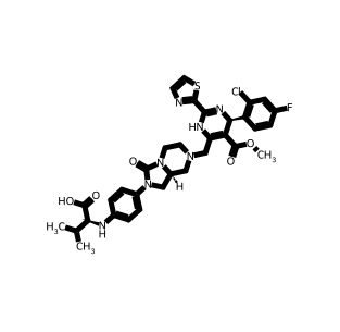 COC(=O)C1=C(CN2CCN3C(=O)N(c4ccc(N[C@H](C(=O)O)C(C)C)cc4)C[C@@H]3C2)NC(c2nccs2)=N[C@H]1c1ccc(F)cc1Cl